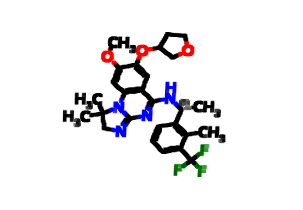 COc1cc2c(cc1OC1CCOC1)C(N[C@H](C)c1cccc(C(F)(F)F)c1C)=NC1=NCC(C)(C)N12